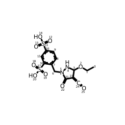 CCOC1NN(Cc2ccc(S(=O)(=O)O)cc2S(=O)(=O)O)C(=O)C1=C=O